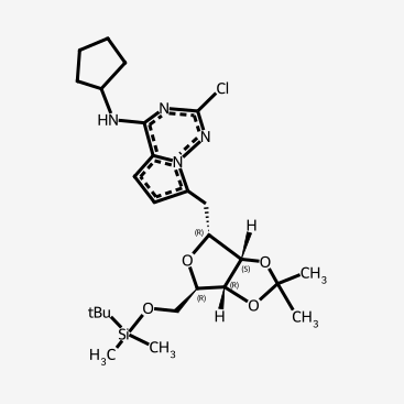 CC1(C)O[C@@H]2[C@H](O1)[C@@H](CO[Si](C)(C)C(C)(C)C)O[C@@H]2Cc1ccc2c(NC3CCCC3)nc(Cl)nn12